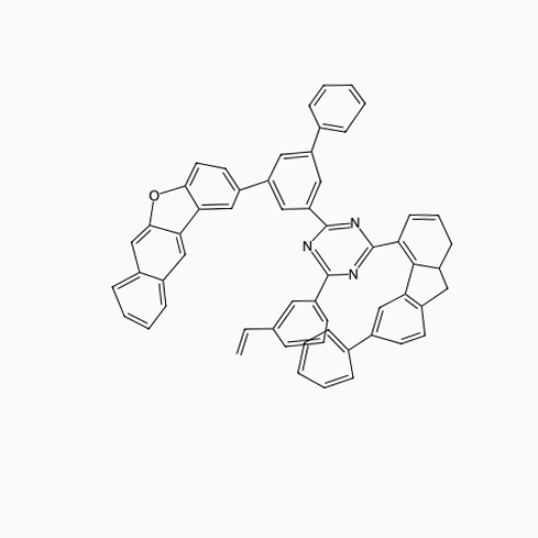 C=Cc1cccc(-c2nc(C3=C4c5cc(-c6ccccc6)ccc5CC4CC=C3)nc(-c3cc(-c4ccccc4)cc(-c4ccc5oc6cc7ccccc7cc6c5c4)c3)n2)c1